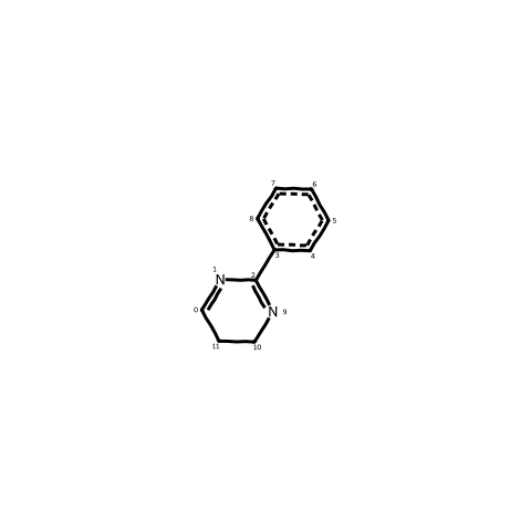 C1=NC(c2ccccc2)=NCC1